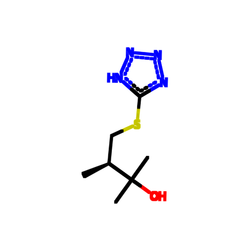 C[C@@H](CSc1nnn[nH]1)C(C)(C)O